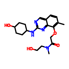 Cc1ccc2cnc(NC3CCC(O)CC3)nc2c1OCC(=O)N(C)CCO